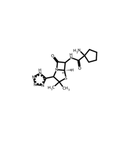 CC1(C)S[C@@H]2C(NC(=O)C3(N)CCCC3)C(=O)N2C1c1nnn[nH]1